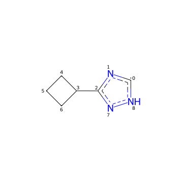 [c]1nc(C2CCC2)n[nH]1